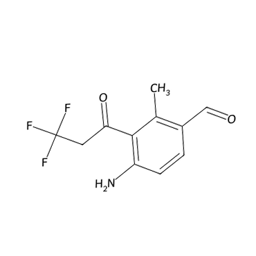 Cc1c(C=O)ccc(N)c1C(=O)CC(F)(F)F